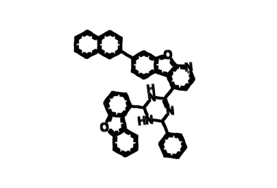 c1ccc(C2N=C(c3ccnc4oc5cc(-c6ccc7ccccc7c6)ccc5c34)NC(c3cccc4oc5ccccc5c34)N2)cc1